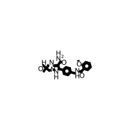 COc1ccccc1C(=O)NCc1ccc(C2NN(CC3(C)COC3)C(N)=C2C(N)=O)cc1